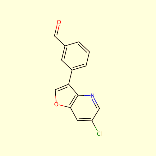 O=Cc1cccc(-c2coc3cc(Cl)cnc23)c1